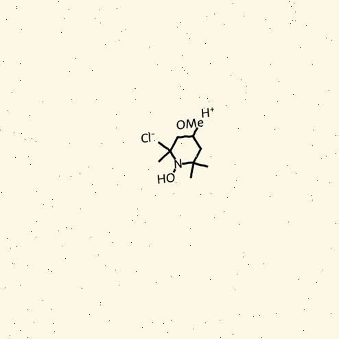 COC1CC(C)(C)N(O)C(C)(C)C1.[Cl-].[H+]